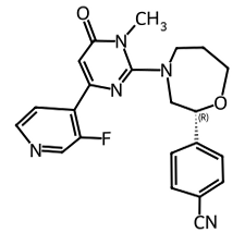 Cn1c(N2CCCO[C@H](c3ccc(C#N)cc3)C2)nc(-c2ccncc2F)cc1=O